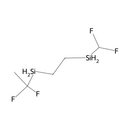 CC(F)(F)[SiH2]CC[SiH2]C(F)F